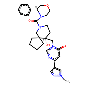 Cn1cc(-c2cc(=O)n(C[C@]3(O)CCN(C(=O)N4CCOC[C@H]4c4ccccc4)CC34CCCC4)cn2)cn1